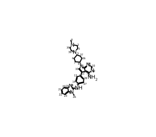 CN1CCN([C@H]2CC[C@H](n3cc(-c4ccc(Nc5nc6ccccc6n5C)cc4)c4c(N)ncnc43)CC2)CC1